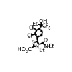 CCN(CC)C(=O)c1nc(C(=O)O)sc1-c1ccc(C(O)(CC)C(F)(F)F)c(Cl)c1Cl